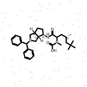 C[C@@H](CC(C(=O)N[C@@H]1CC[C@H]2CN(C(c3ccccc3)c3ccccc3)C[C@H]21)N(C)C(=O)O)CC(C)(C)C